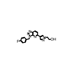 OCCn1cc(-c2ccc3nnn(Cc4ccc(F)cc4)c3n2)cn1